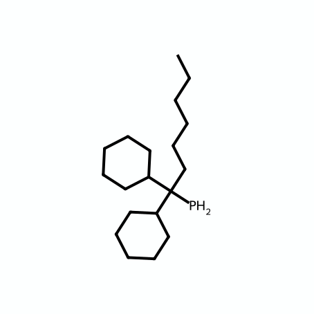 CCCCCCC(P)(C1CCCCC1)C1CCCCC1